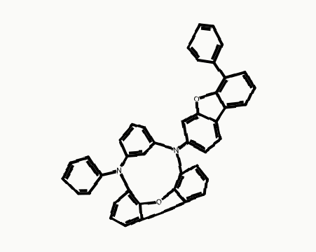 c1ccc(-c2cccc3c2oc2cc(N4c5cccc(c5)N(c5ccccc5)c5cccc6c5oc5c4cccc56)ccc23)cc1